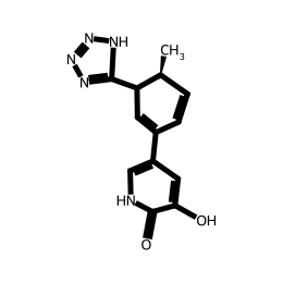 C[C@H]1C=CC(c2c[nH]c(=O)c(O)c2)=CC1c1nnn[nH]1